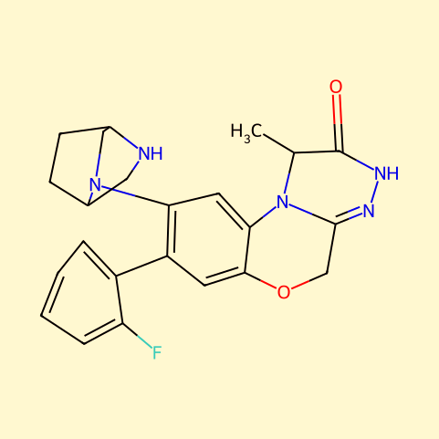 CC1C(=O)NN=C2COc3cc(-c4ccccc4F)c(N4CC5CCC4CN5)cc3N21